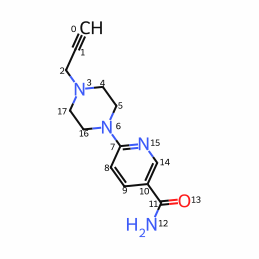 C#CCN1CCN(c2ccc(C(N)=O)cn2)CC1